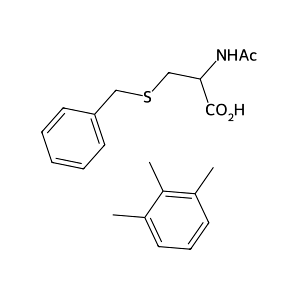 CC(=O)NC(CSCc1ccccc1)C(=O)O.Cc1cccc(C)c1C